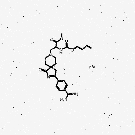 Br.CCCCOC(=O)NC(CN1CCC2(CC1)CC(c1ccc(C(=N)N)cc1)=NC2=O)C(=O)OC